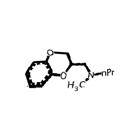 CCCN(C)CC1COc2cc[c]cc2O1